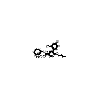 CCCCOc1ncc(C(=O)NC2CCCC[C@H]2O)cc1-c1ccc(Cl)cc1Cl